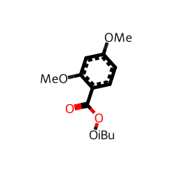 COc1ccc(C(=O)OO[CH]C(C)C)c(OC)c1